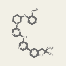 CCOc1ccccc1OC1CCCN(c2cncc(Nc3cncc(-c4cccc(CC(C)(C)C(=O)O)c4)c3)n2)C1